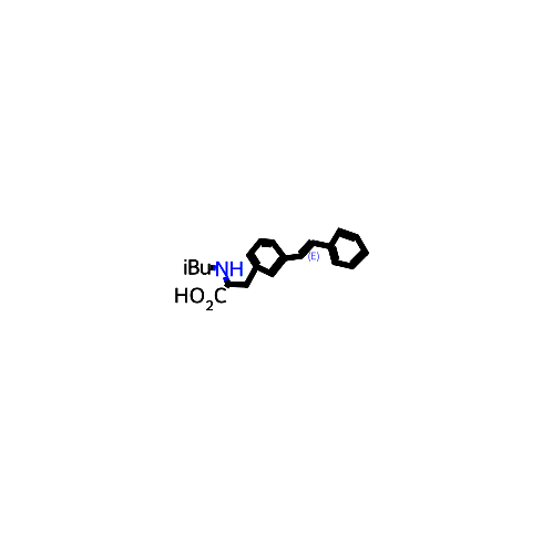 CCC(C)NC(Cc1cccc(/C=C/c2ccccc2)c1)C(=O)O